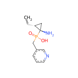 C=C[C@@H]1C[C@]1(N)P(=O)(O)Cc1cccnc1